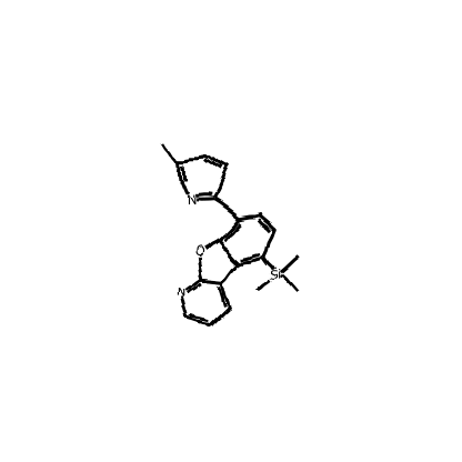 Cc1ccc(-c2ccc([Si](C)(C)C)c3c2oc2ncccc23)nc1